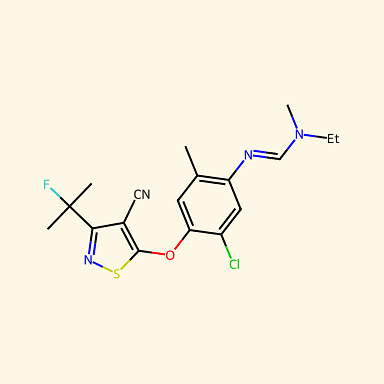 CCN(C)C=Nc1cc(Cl)c(Oc2snc(C(C)(C)F)c2C#N)cc1C